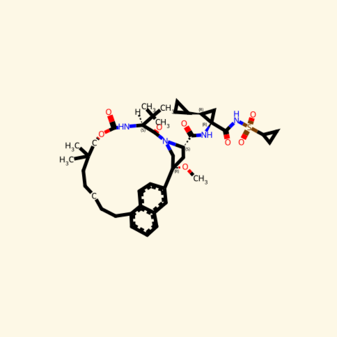 CO[C@@]12C[C@@H](C(=O)N[C@]3(C(=O)NS(=O)(=O)C4CC4)C[C@@H]3C3CC3)N(C1)C(=O)[C@H](C(C)(C)C)NC(=O)OCC(C)(C)CCCCCc1cccc3cc2ccc13